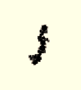 C=Cn1c(SCC(=O)Nc2ccccc2)nnc1-c1ccc(-c2ccc(NC(=O)CSc3nnc(-c4cccs4)n3C(C)(C)C)cc2)s1